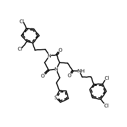 O=C(CC1C(=O)N(CCc2ccc(Cl)cc2Cl)CC(=O)N1CCc1cccs1)NCCc1ccc(Cl)cc1Cl